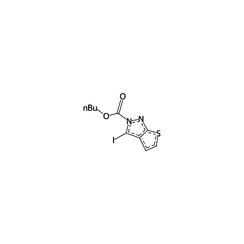 CCCCOC(=O)n1nc2sccc2c1I